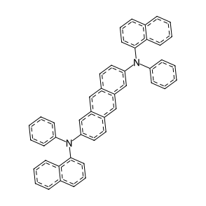 c1ccc(N(c2ccc3cc4cc(N(c5ccccc5)c5cccc6ccccc56)ccc4cc3c2)c2cccc3ccccc23)cc1